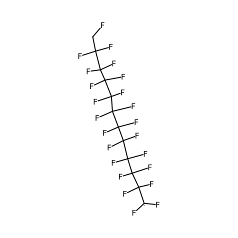 FCC(F)(F)C(F)(F)C(F)(F)C(F)(F)C(F)(F)C(F)(F)C(F)(F)C(F)(F)C(F)(F)C(F)(F)[C](F)F